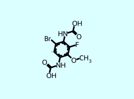 COc1c(NC(=O)O)[c]c(Br)c(NC(=O)O)c1F